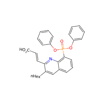 CCCCCCc1cc2cccc(P(=O)(Oc3ccccc3)Oc3ccccc3)c2nc1C=CC(=O)O